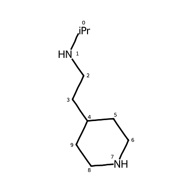 CC(C)NCCC1CCNCC1